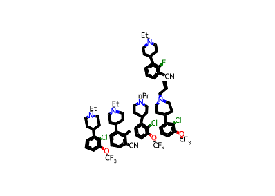 C=CCN1CCC(c2cccc(OC(F)(F)F)c2Cl)CC1.CCCN1CCC(c2cccc(OC(F)(F)F)c2Cl)CC1.CCN1CCC(c2cccc(C#N)c2C)CC1.CCN1CCC(c2cccc(C#N)c2F)CC1.CCN1CCC(c2cccc(OC(F)(F)F)c2Cl)CC1